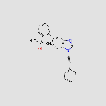 CC(C)(O)c1ccccc1-c1ccc2c(c1)ncn2C#Cc1ccccc1